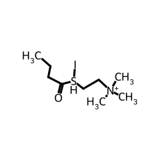 CCCC(=O)[SH](I)CC[N+](C)(C)C